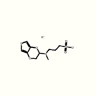 CN(CCCS(=O)(=O)[O-])C1COc2cscc2O1.[K+]